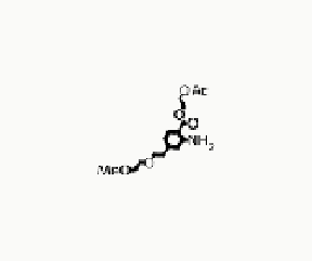 COCCOCCc1ccc(C(=O)OCCOC(C)=O)c(N)c1